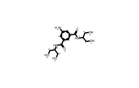 Nc1cc(C(=O)NC(CO)CO)cc(C(=O)NC(CO)CO)c1